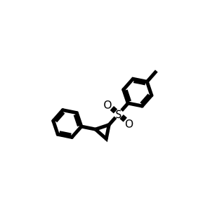 Cc1ccc(S(=O)(=O)C2CC2c2ccccc2)cc1